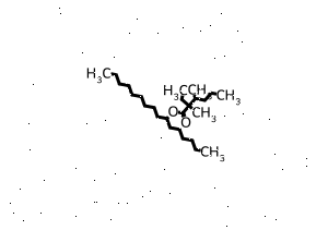 CCCCCCCCCC(CCCCCC)OC(=O)C(C)(CC)C(C)CCC